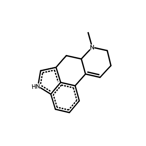 CN1CCC=C2c3cccc4[nH]cc(c34)CC21